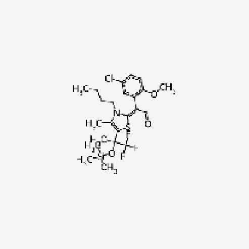 CCCCN1C(C)=C(C(C)(O[Si](C)(C)C)C(F)(F)F)S/C1=C(\C=O)c1cc(Cl)ccc1OC